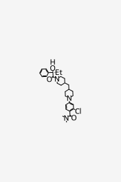 CC[C@](O)(C(=O)N1CCC(CC2CCN(c3ccc(C(=O)N(C)C)c(Cl)c3)CC2)CC1)c1ccccc1